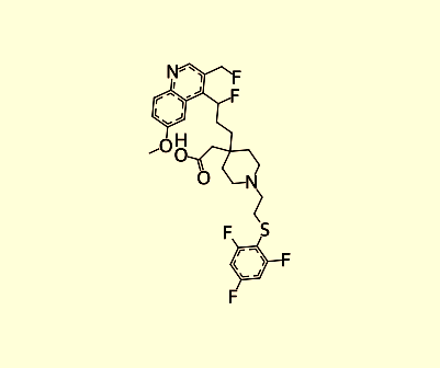 COc1ccc2ncc(CF)c(C(F)CCC3(CC(=O)O)CCN(CCSc4c(F)cc(F)cc4F)CC3)c2c1